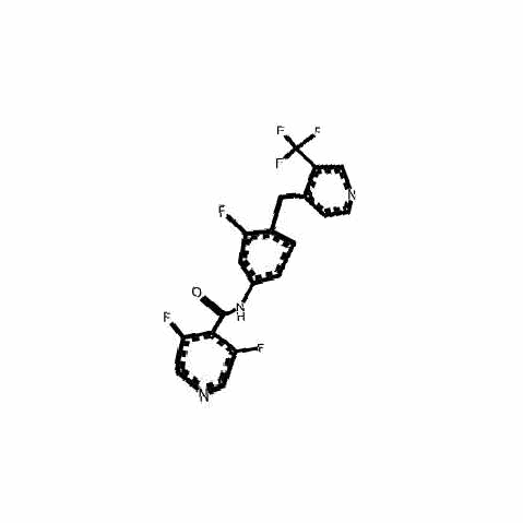 O=C(Nc1ccc(Cc2ccncc2C(F)(F)F)c(F)c1)c1c(F)cncc1F